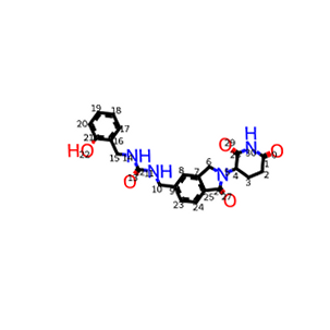 O=C1CCC(N2Cc3cc(CNC(=O)NCc4ccccc4O)ccc3C2=O)C(=O)N1